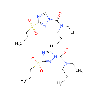 CCCN(CC)C(=O)n1cnc(S(=O)(=O)CCC)n1.CCCN(CC)C(=O)n1cnc(S(=O)(=O)CCC)n1